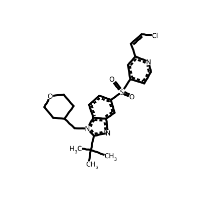 CC(C)(C)c1nc2cc(S(=O)(=O)c3ccnc(/C=C\Cl)c3)ccc2n1CC1CCOCC1